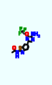 CC(=O)Nc1nc2ccc(-c3cnc(N)c(OCC(F)(F)F)n3)cc2s1